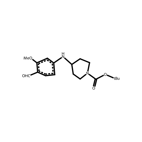 COc1cc(NC2CCN(C(=O)OC(C)(C)C)CC2)ccc1C=O